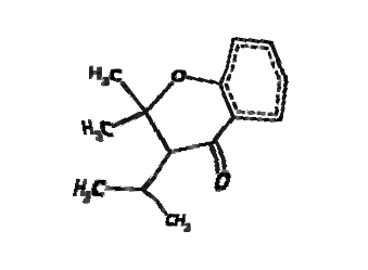 CC(C)C1C(=O)c2ccccc2OC1(C)C